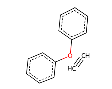 C#C.c1ccc(Oc2ccccc2)cc1